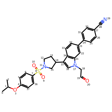 CC(C)Oc1ccc(S(=O)(=O)N2CCC(c3cn(CC=O)c4cc(-c5ccc(C#N)cc5)ccc34)C2)cc1